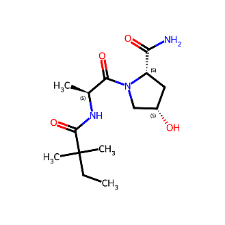 CCC(C)(C)C(=O)N[C@@H](C)C(=O)N1C[C@@H](O)C[C@H]1C(N)=O